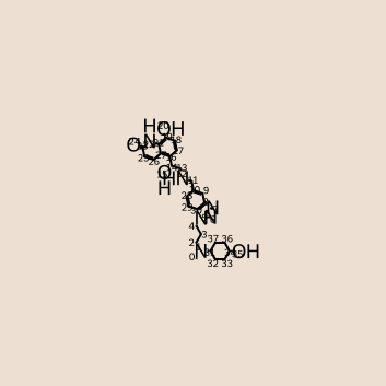 CN(CCCn1nnc2cc(CNC[C@H](O)c3ccc(O)c4[nH]c(=O)ccc34)ccc21)[C@H]1CC[C@H](O)CC1